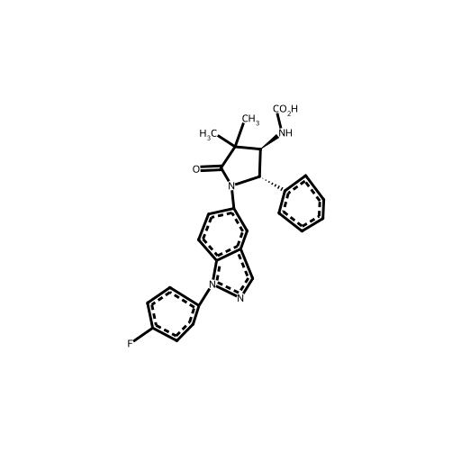 CC1(C)C(=O)N(c2ccc3c(cnn3-c3ccc(F)cc3)c2)[C@@H](c2ccccc2)[C@@H]1NC(=O)O